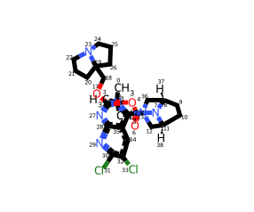 CC(C)(C)OC(=O)N1[C@@H]2CC[C@H]1CN(c1nc(OCC34CCCN3CCC4)nc3nc(Cl)c(Cl)cc13)C2